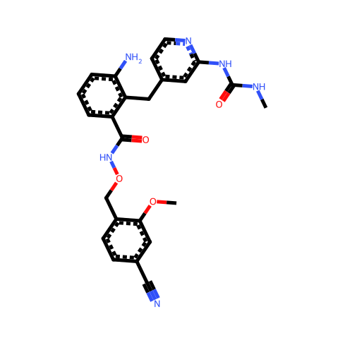 CNC(=O)Nc1cc(Cc2c(N)cccc2C(=O)NOCc2ccc(C#N)cc2OC)ccn1